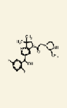 CC1CN(CC(=O)N2CC(C)(C)c3ncc(C(O)c4cc(F)ccc4F)cc32)CCN1